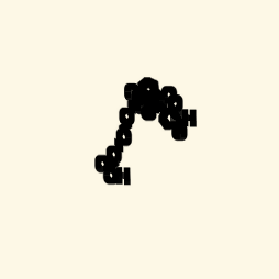 O=C(O)COCCOCCOCCS(=O)(=O)c1cccc2c1C(=O)N(C1CCC(=O)NC1=O)C2=O